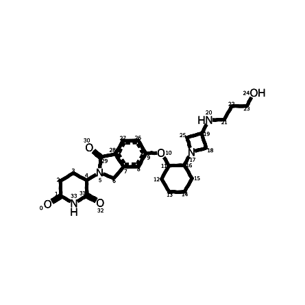 O=C1CCC(N2Cc3cc(OC4CCCCC4N4CC(NCCCO)C4)ccc3C2=O)C(=O)N1